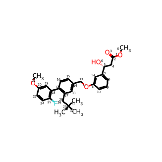 COC(=O)C[C@@H](O)c1cccc(OCc2ccc(-c3cc(OC)ccc3F)c(CC(C)(C)C)c2)c1